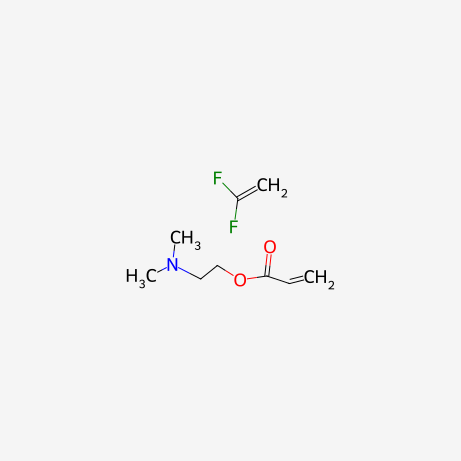 C=C(F)F.C=CC(=O)OCCN(C)C